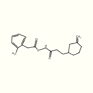 C=C1CCCC(CCC(=O)NOC(=O)Cc2ccccc2C)C1